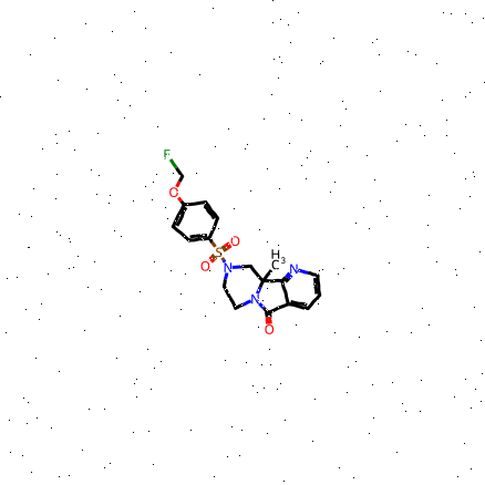 CC12CN(S(=O)(=O)c3ccc(OCF)cc3)CCN1C(=O)c1cccnc12